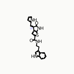 O=C1Nc2sc(C(=O)NCCc3c[nH]c4ccccc34)cc2/C1=C/c1ccc[nH]1